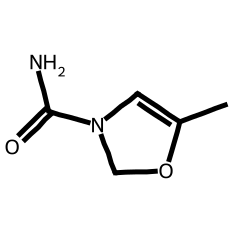 CC1=CN(C(N)=O)CO1